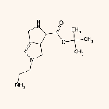 CC(C)(C)OC(=O)C1NCC2=CN(CCN)CC21